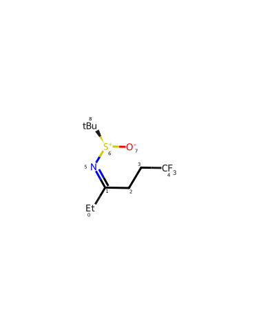 CCC(CCC(F)(F)F)=N[S@+]([O-])C(C)(C)C